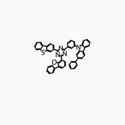 c1ccc(-c2ccc3c4ccccc4n(-c4cccc(-c5nc(-c6ccc7c(c6)sc6ccccc67)nc(-c6cccc7c6oc6ccccc67)n5)c4)c3c2)cc1